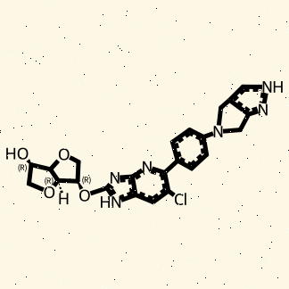 O[C@@H]1CO[C@H]2C1OC[C@H]2Oc1nc2nc(-c3ccc(N4Cc5c[nH]nc5C4)cc3)c(Cl)cc2[nH]1